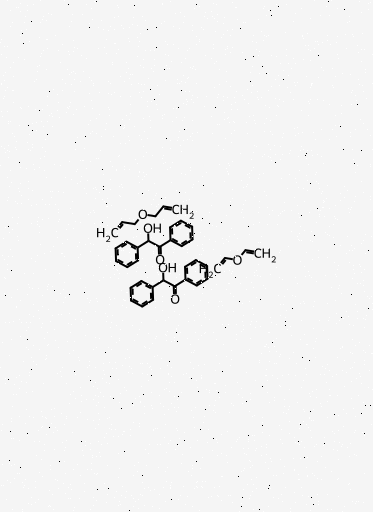 C=CCOCC=C.C=COC=C.O=C(c1ccccc1)C(O)c1ccccc1.O=C(c1ccccc1)C(O)c1ccccc1